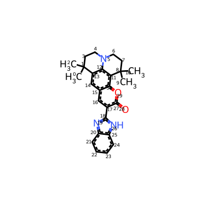 CC1(C)CCN2CCC(C)(C)c3c2c1cc1cc(-c2nc4ccccc4[nH]2)c(=O)oc31